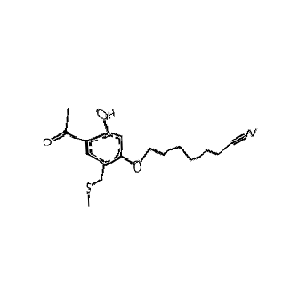 CSCc1cc(C(C)=O)c(O)cc1OCCCCCCC#N